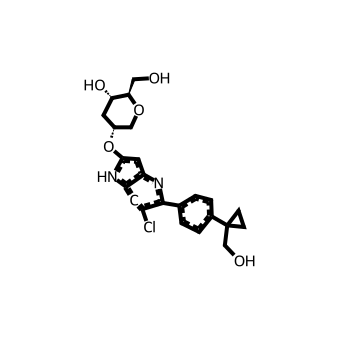 OC[C@H]1OC[C@H](Oc2cc3nc(-c4ccc(C5(CO)CC5)cc4)c(Cl)cc3[nH]2)C[C@@H]1O